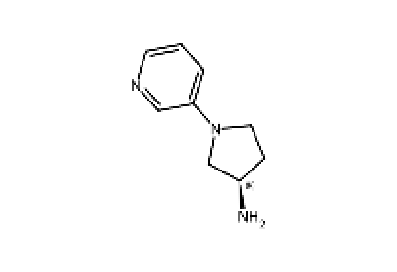 N[C@@H]1CCN(c2cccnc2)C1